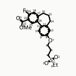 CCS(=O)(=O)CCCOc1ccc2c(c1)CCCc1cc(F)c(C(=O)OC)cc1-2